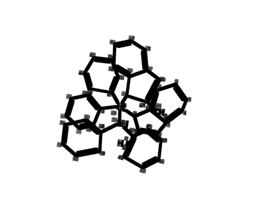 CC1=Cc2ccccc2[CH]1[Hf]([c]1ccccc1)([c]1ccccc1)([CH]1C(C)=Cc2ccccc21)[SiH](c1ccccc1)c1ccccc1